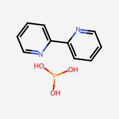 OP(O)O.c1ccc(-c2ccccn2)nc1